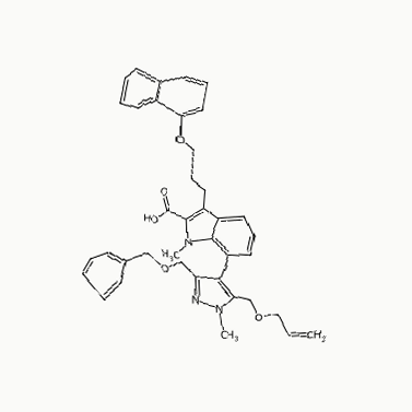 C=CCOCc1c(-c2cccc3c(CCCOc4cccc5ccccc45)c(C(=O)O)n(C)c23)c(COCc2ccccc2)nn1C